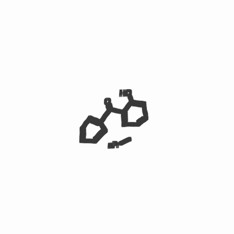 CCCC.O=C(c1ccccc1)c1ccccc1O